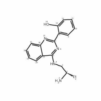 CC[C@@H](N)CNc1nc(-c2ccccc2O)nc2ccccc12